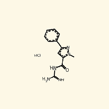 Cl.Cn1nc(-c2ccccc2)cc1C(=O)NC(=N)N